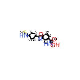 CSNc1ccc(-c2nc3cc(C(=O)NO)ccc3o2)cc1